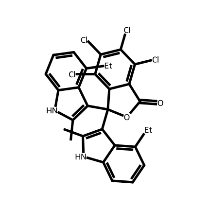 CCc1cccc2[nH]c(C)c(C3(c4c(C)[nH]c5cccc(CC)c45)OC(=O)c4c(Cl)c(Cl)c(Cl)c(Cl)c43)c12